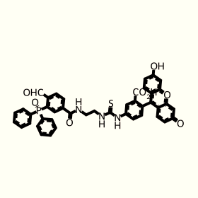 O=Cc1ccc(C(=O)NCCNC(=S)Nc2ccc(-c3c4ccc(=O)cc-4oc4cc(O)ccc34)c(C(=O)O)c2)cc1P(=O)(c1ccccc1)c1ccccc1